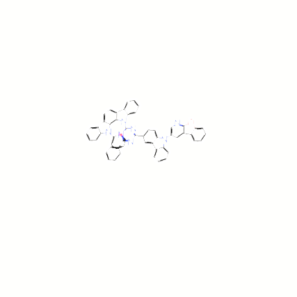 c1ccc(-c2nc(-c3ccc4c(c3)c3ccccc3n4-c3cnc4oc5ccccc5c4c3)nc(-n3c4ccccc4c4ccc5c6ccccc6n(-c6ccccc6)c5c43)n2)cc1